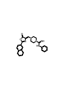 N=C(Nc1ccccc1)N1CCN(C=C2N=C(c3ccc4ccccc4c3)OC2=O)CC1